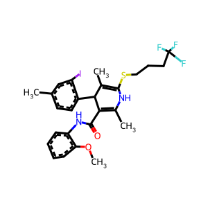 COc1ccccc1NC(=O)C1=C(C)NC(SCCCC(F)(F)F)=C(C)C1c1ccc(C)cc1I